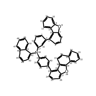 c1cc(-c2cccc3oc4ccccc4c23)cc(N(c2ccc(-c3cccc4oc5c6ccccc6ccc5c34)cc2)c2cccc3ccccc23)c1